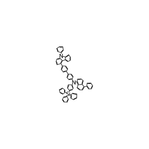 c1ccc(-c2cccc3c(N(c4ccc(-c5ccc(-c6cccc7c6c6ccccc6n7-c6ccccc6)cc5)cc4)c4ccc([Si](c5ccccc5)(c5ccccc5)c5ccccc5)cc4)cccc23)cc1